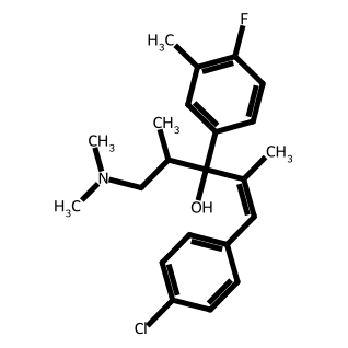 CC(=Cc1ccc(Cl)cc1)C(O)(c1ccc(F)c(C)c1)C(C)CN(C)C